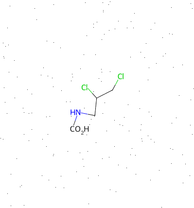 O=C(O)NCC(Cl)CCl